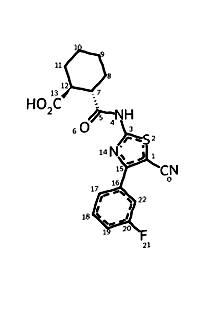 N#Cc1sc(NC(=O)[C@H]2CCCC[C@@H]2C(=O)O)nc1-c1cccc(F)c1